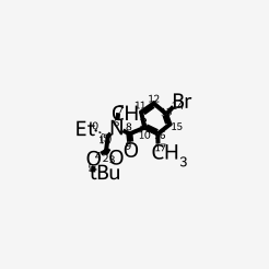 CC[C@@H](C(=O)OC(C)(C)C)N(C)C(=O)c1ccc(Br)cc1C